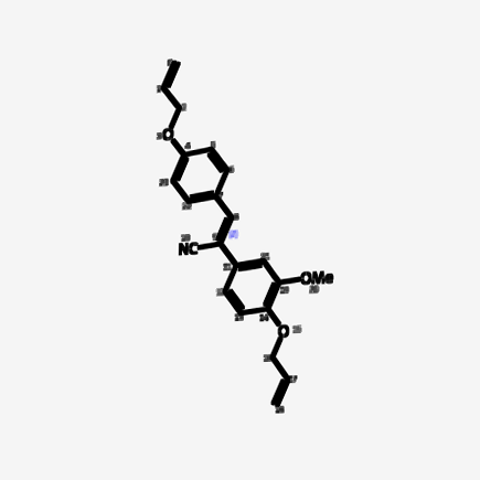 C=CCOc1ccc(/C=C(\C#N)c2ccc(OCC=C)c(OC)c2)cc1